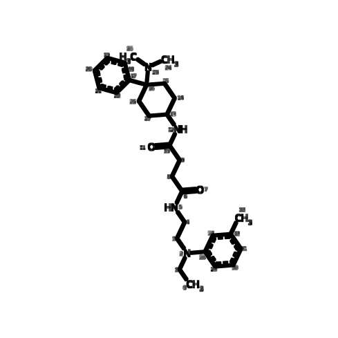 CCN(CCNC(=O)CCC(=O)NC1CCC(c2ccccc2)(N(C)C)CC1)c1cccc(C)c1